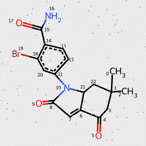 CC1(C)CC(=O)C2=CC(=O)N(c3ccc(C(N)=O)c(Br)c3)C2C1